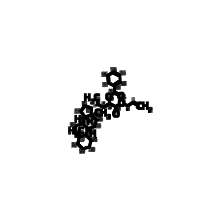 C=CCOC(=O)C(CC(C)[C@H]1CC[C@H]2[C@@H]3CC=C4CCCC[C@]4(C)[C@H]3CC[C@]12C)OC(=O)c1ccccc1